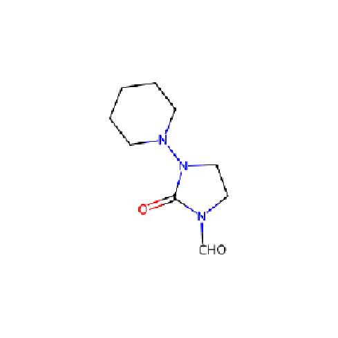 O=CN1CCN(N2CCCCC2)C1=O